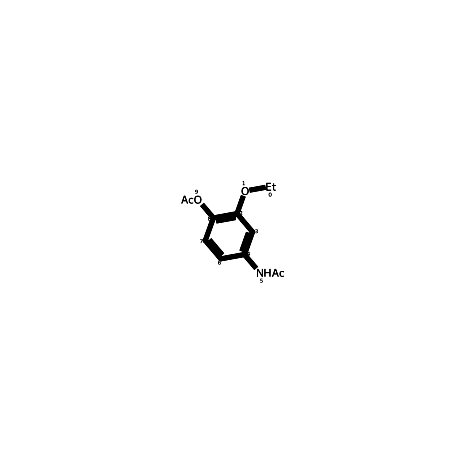 CCOc1cc(NC(C)=O)ccc1OC(C)=O